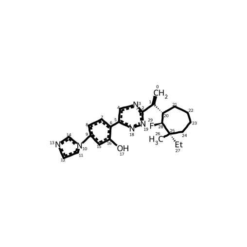 C=C(c1ncc(-c2ccc(-n3ccnc3)cc2O)nn1)[C@@H]1CCCC[C@](C)(CC)[C@H]1F